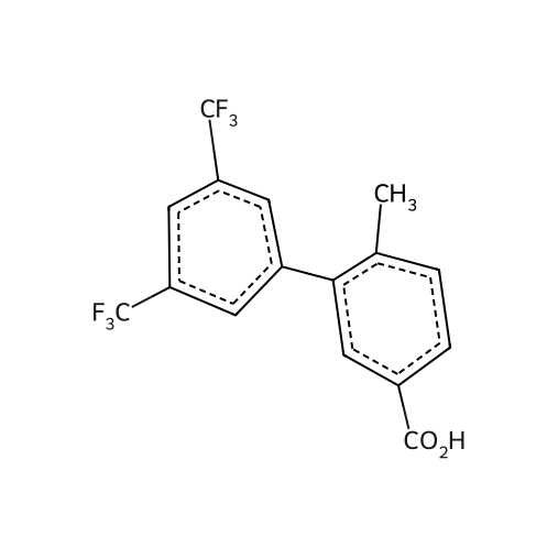 Cc1ccc(C(=O)O)cc1-c1cc(C(F)(F)F)cc(C(F)(F)F)c1